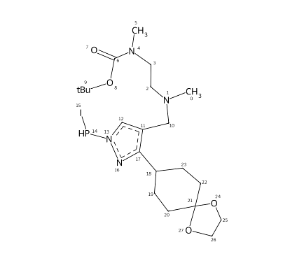 CN(CCN(C)C(=O)OC(C)(C)C)Cc1cn(PI)nc1C1CCC2(CC1)OCCO2